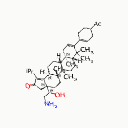 CC(=O)C1CC=C(C2=CC[C@]3(C)[C@H]4CC[C@@H]5C6=C(C(C)C)C(=O)C[C@]6([C@@H](O)CN)CC[C@@]5(C)[C@]4(C)CC[C@H]3C2(C)C)CC1